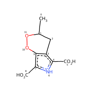 CC1Cc2c(C(=O)O)[nH]c(C(=O)O)c2OO1